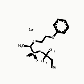 CC(OCCOc1ccccc1)S(=O)(=O)OC(C)(C)CC(C)(C)C.[Na]